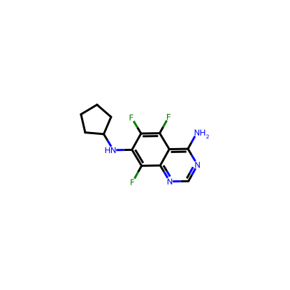 Nc1ncnc2c(F)c(NC3CCCC3)c(F)c(F)c12